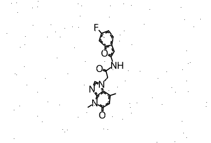 Cc1cc(=O)n(C)c2ncn(CC(=O)Nc3cc4ccc(F)cc4o3)c12